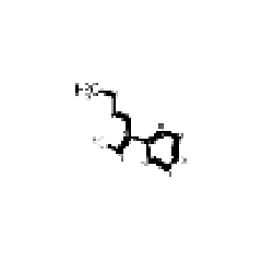 CCC=CC(=C[O])c1ccccc1